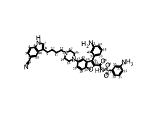 N#Cc1ccc2[nH]cc(CCCCN3CCN(c4ccc5oc(C(=O)NS(=O)(=O)c6cccc(N)c6)c(-c6cccc(N)c6)c5c4)CC3)c2c1